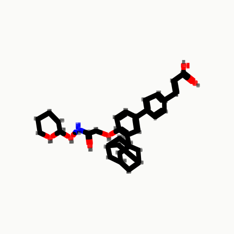 O=C(O)/C=C/c1ccc(-c2ccc(OCC(=O)NOC3CCCCO3)c(C34CC5CC(CC(C5)C3)C4)c2)cc1